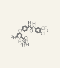 [2H]c1cc(Oc2ccc(NC(=O)Nc3ccc(Cl)c(C(F)(F)F)c3)cc2)cc(C(=O)NC([2H])([2H])[2H])n1